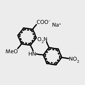 COc1ccc(C(=O)[O-])cc1Nc1ccc([N+](=O)[O-])cc1[N+](=O)[O-].[Na+]